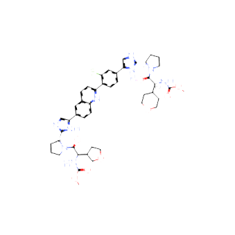 COC(=O)NC(C(=O)N1CCC[C@H]1c1ncc(-c2ccc3nc(-c4ccc(-c5cnc([C@@H]6CCCN6C(=O)[C@@H](NC(=O)OC)C6CCOCC6)[nH]5)cc4F)ccc3c2)[nH]1)C1CCOC1